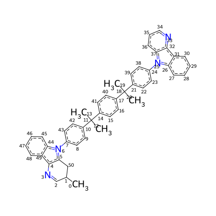 CC1C=Nc2c(n(-c3ccc(C(C)(C)c4ccc(C(C)(C)c5ccc(-n6c7ccccc7c7ncccc76)cc5)cc4)cc3)c3ccccc23)C1